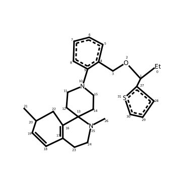 CCC(OCc1ccccc1N1CCC2(CC1)C1=C(C=CC(C)C1)CCN2C)c1cccs1